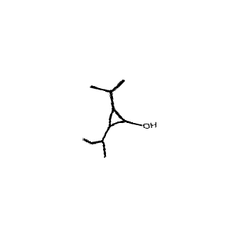 CC(C)C1C(O)C1C(C)C